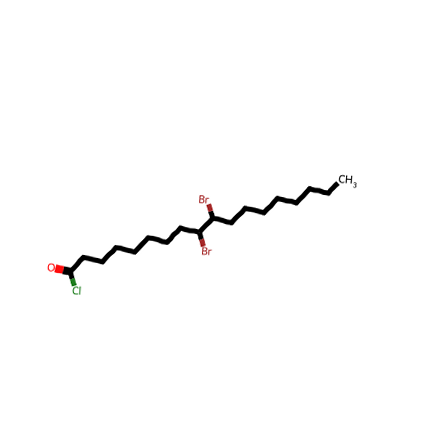 CCCCCCCCC(Br)C(Br)CCCCCCCC(=O)Cl